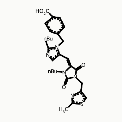 CCCCc1ncc(C=C2C(=O)N(Cc3csc(C)n3)C(=O)N2CCCC)n1Cc1ccc(C(=O)O)cc1